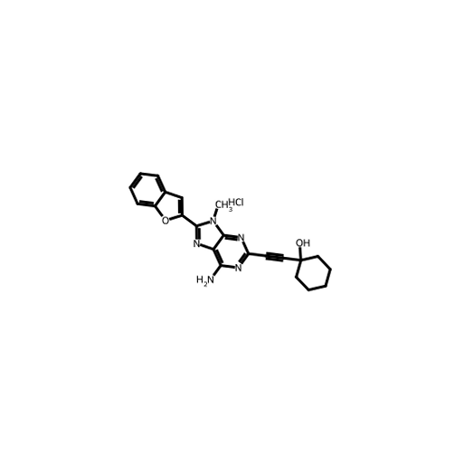 Cl.Cn1c(-c2cc3ccccc3o2)nc2c(N)nc(C#CC3(O)CCCCC3)nc21